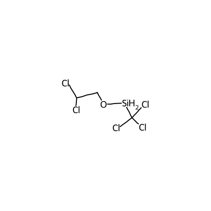 ClC(Cl)CO[SiH2]C(Cl)(Cl)Cl